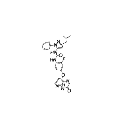 CC(C)Cc1cc(NC(=O)Nc2ccc(Oc3ccnc4[nH]c(=O)cnc34)cc2F)n(-c2ccccc2)n1